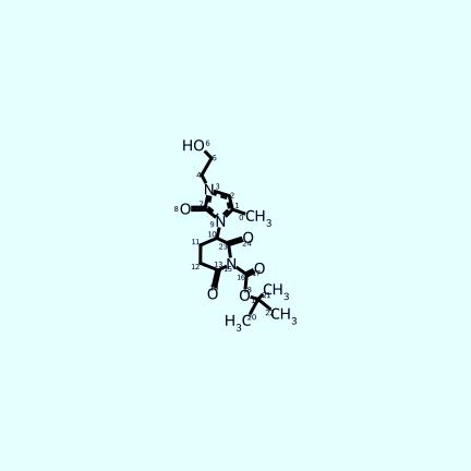 Cc1cn(CCO)c(=O)n1C1CCC(=O)N(C(=O)OC(C)(C)C)C1=O